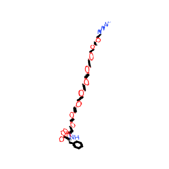 [N-]=[N+]=NCCOCCOCCOCCOCCOCCOCCOCCOCCOCCC(=O)N[C@@H](CC1CCCCC1)C(=O)O